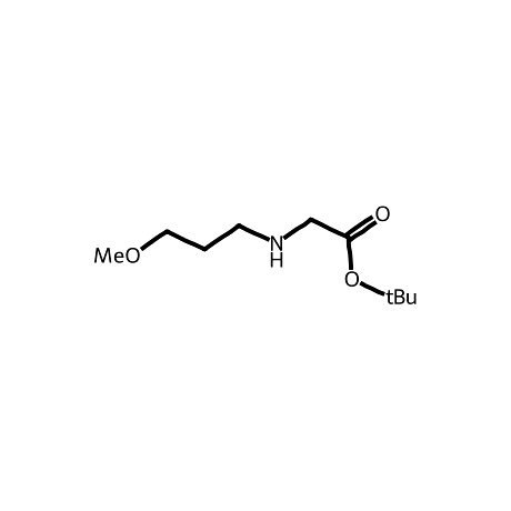 COCCCNCC(=O)OC(C)(C)C